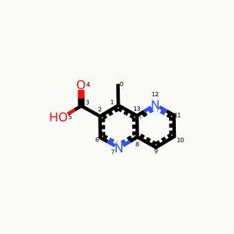 Cc1c(C(=O)O)cnc2cccnc12